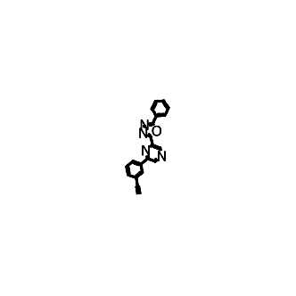 C#Cc1cccc(-c2cncc(-c3nnc(-c4ccccc4)o3)n2)c1